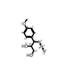 COc1ccc(C(N=[N+]=[N-])C(O)CO)cc1